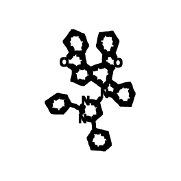 c1ccc(-c2cc(-n3c4ccccc4c4c5oc6ccccc6c5c5c(ccc6oc7ccccc7c65)c43)nc(-c3ccccc3)n2)cc1